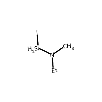 CCN(C)[SiH2]I